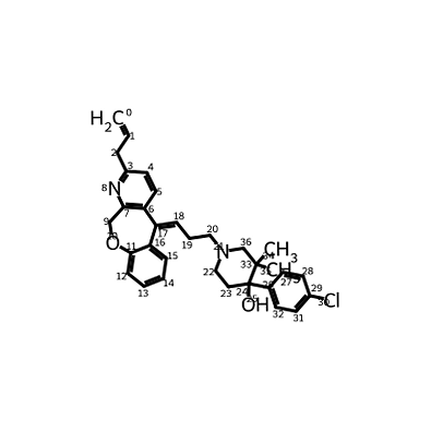 C=CCc1ccc2c(n1)COc1ccccc1C2=CCCN1CCC(O)(c2ccc(Cl)cc2)C(C)(C)C1